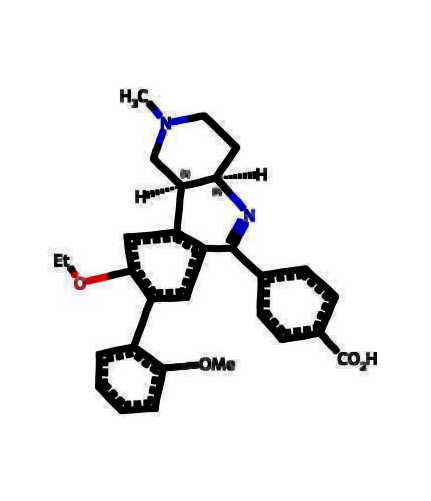 CCOc1cc2c(cc1-c1ccccc1OC)C(c1ccc(C(=O)O)cc1)=N[C@@H]1CCN(C)C[C@H]21